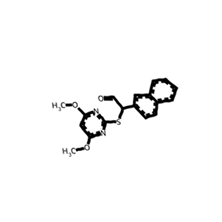 COc1cc(OC)nc(SC(C=O)c2ccc3ccccc3c2)n1